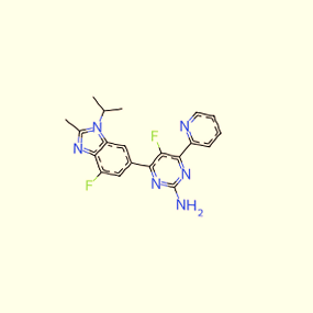 Cc1nc2c(F)cc(-c3nc(N)nc(-c4ccccn4)c3F)cc2n1C(C)C